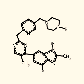 CCN1CCN(Cc2ccc(Cc3ncc(C)c(-c4cc(F)c5nc(C)n(C(C)C)c5c4)n3)nc2)CC1